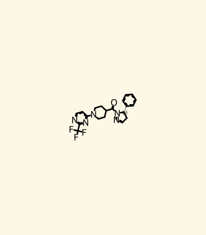 O=C(C1CCN(c2ccnc(C(F)(F)F)n2)CC1)N1N=CC[C@H]1c1ccccc1